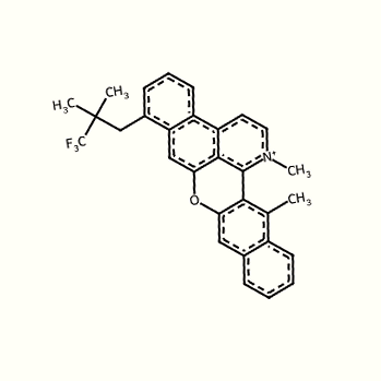 Cc1c2c(cc3ccccc13)Oc1cc3c(CC(C)(C)C(F)(F)F)cccc3c3cc[n+](C)c-2c13